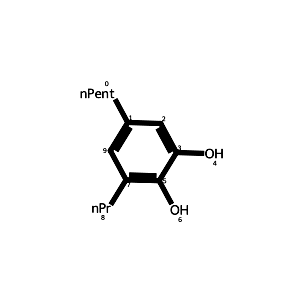 CCCCCc1cc(O)c(O)c(CCC)c1